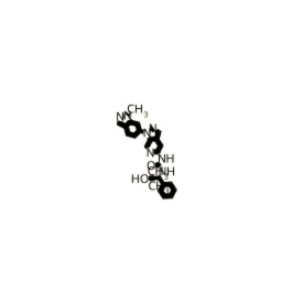 Cn1ncc2ccc(-n3ncc4cc(NC(=O)N[C@@H](c5ccccc5)C(C)(C)O)ncc43)cc21